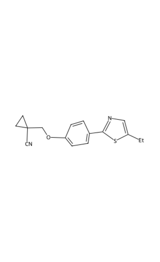 CCc1cnc(-c2ccc(OCC3(C#N)CC3)cc2)s1